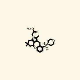 COC(=O)Cn1c(C)c(Cc2ccccc2S(=O)(=O)N2CCOCC2)c2c1CC(C)(C)CC2=O